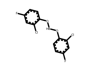 Fc1ccc(OBOc2ccc(F)cc2Cl)c(Cl)c1